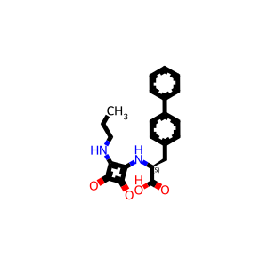 CCCNc1c(N[C@@H](Cc2ccc(-c3ccccc3)cc2)C(=O)O)c(=O)c1=O